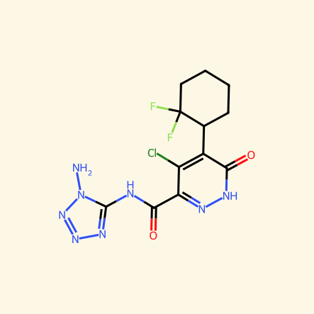 Nn1nnnc1NC(=O)c1n[nH]c(=O)c(C2CCCCC2(F)F)c1Cl